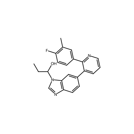 CCC(O)n1cnc2ccc(-c3cccnc3-c3ccc(F)c(C)c3)cc21